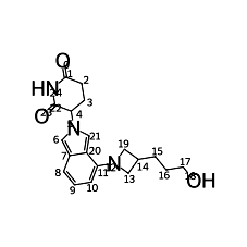 O=C1CCC(n2cc3cccc(N4CC(CCCO)C4)c3c2)C(=O)N1